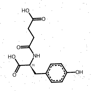 O=C(O)CCC(=O)N[C@@H](Cc1ccc(O)cc1)C(=O)O